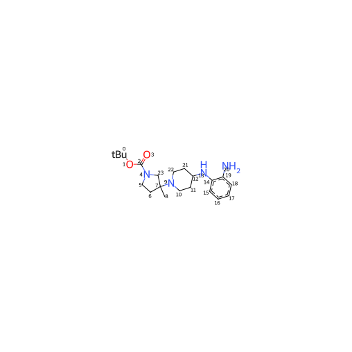 CC(C)(C)OC(=O)N1CCC(C)(N2CCC(Nc3ccccc3N)CC2)C1